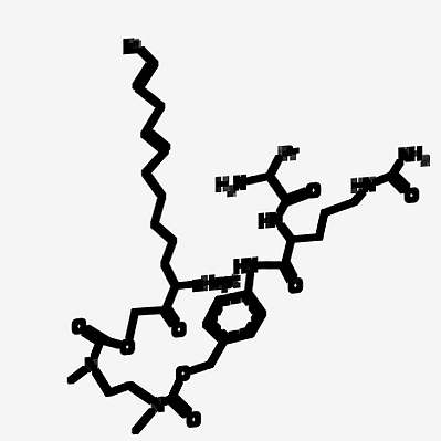 CCC=CCC=CCCCCCC(CCCCCCC)C(=O)COC(=O)N(C)CCN(C)C(=O)OCc1ccc(NC(=O)C(CCCNC(N)=O)NC(=O)C(N)C(C)C)cc1